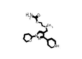 CN(CCOC(N)=O)Cc1cn(C2CCCCO2)nc1C1CCNCC1